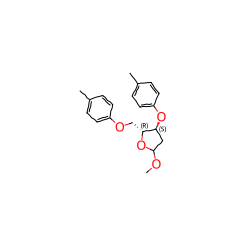 COC1C[C@H](Oc2ccc(C)cc2)[C@@H](COc2ccc(C)cc2)O1